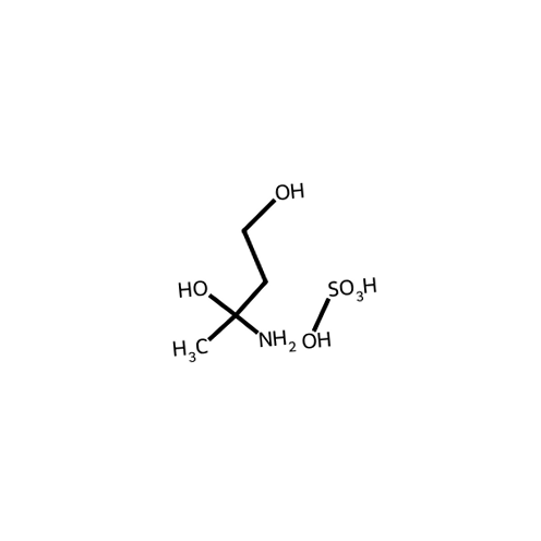 CC(N)(O)CCO.O=S(=O)(O)O